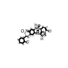 Nc1cc(SCc2ccccc2Cl)c([N+](=O)[O-])cc1NS(=O)(=O)C1=CC=C(Cl)N2ONC=C12